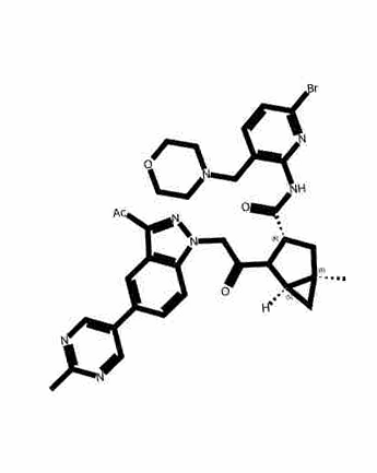 CC(=O)c1nn(CC(=O)C2[C@H](C(=O)Nc3nc(Br)ccc3CN3CCOCC3)C[C@@]3(C)C[C@@H]23)c2ccc(-c3cnc(C)nc3)cc12